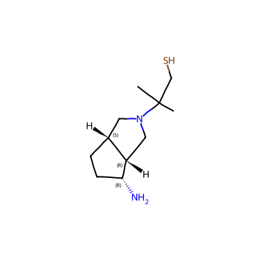 CC(C)(CS)N1C[C@H]2CC[C@@H](N)[C@H]2C1